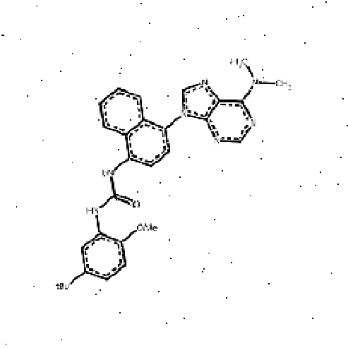 COc1ccc(C(C)(C)C)cc1NC(=O)Nc1ccc(-n2cnc3c(N(C)C)ncnc32)c2ccccc12